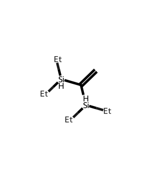 C=C([SiH](CC)CC)[SiH](CC)CC